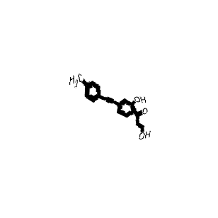 Cc1ccc(C#Cc2ccc(C(=O)CCO)c(O)c2)cc1